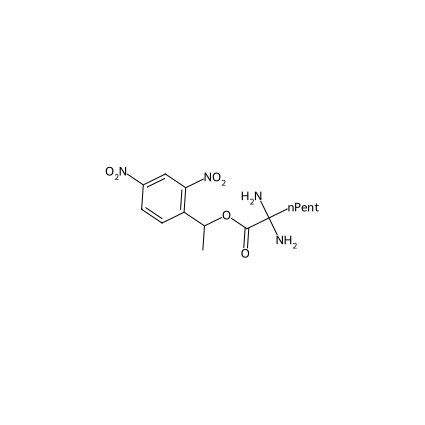 CCCCCC(N)(N)C(=O)OC(C)c1ccc([N+](=O)[O-])cc1[N+](=O)[O-]